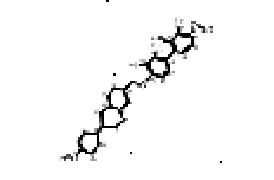 CCCCC1CCC(C2CCC3CC(COc4ccc(-c5ccc(OCC)c(F)c5F)c(F)c4F)CCC3C2)CC1